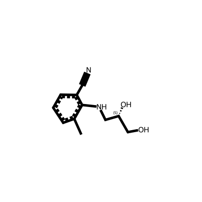 Cc1cccc(C#N)c1NC[C@H](O)CO